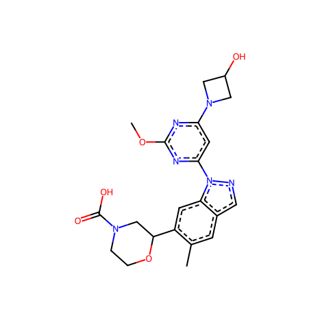 COc1nc(N2CC(O)C2)cc(-n2ncc3cc(C)c(C4CN(C(=O)O)CCO4)cc32)n1